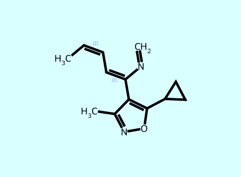 C=N/C(=C\C=C/C)c1c(C)noc1C1CC1